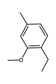 [CH2]c1ccc(CC)c(OC)c1